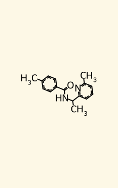 Cc1ccc(C(=O)NC(C)c2cccc(C)n2)cc1